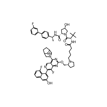 C[C@H](NC(=O)[C@@H]1C[C@@H](O)CN1C(=O)[C@@H](NC(=O)CCCCN1CCC[C@H]1COc1nc(N2CC3CCC(C2)N3)c2cnc(-c3cc(O)cc4cccc(F)c34)c(F)c2n1)C(C)(C)C)c1ccc(-c2cccc(F)c2)cc1